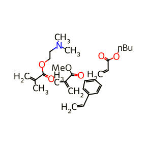 C=C(C)C(=O)OC.C=C(C)C(=O)OCCN(C)C.C=CC(=O)OCCCC.C=Cc1ccccc1